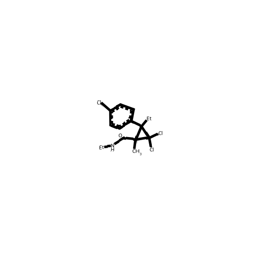 CCNC(=O)C1(C)C(Cl)(Cl)C1(CC)c1ccc(Cl)cc1